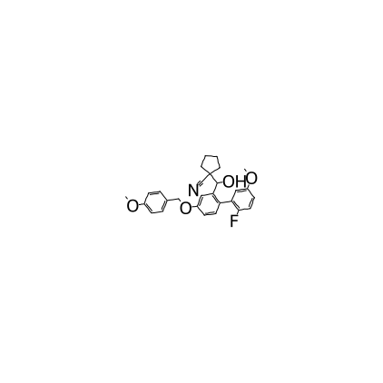 COc1ccc(COc2ccc(-c3cc(OC)ccc3F)c(C(O)C3(C#N)CCCC3)c2)cc1